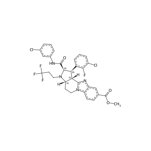 COC(=O)c1ccc2c(c1)nc1n2CC[C@H]2[C@@H]1[C@H](c1cccc(Cl)c1F)[C@H](C(=O)Nc1cccc(Cl)c1)N2CCC(F)(F)F